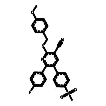 COc1ccc(CSc2nc(-c3ccc(F)cc3)c(-c3ccc(S(C)(=O)=O)cc3)cc2C#N)cc1